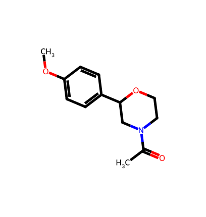 COc1ccc(C2CN(C(C)=O)CCO2)cc1